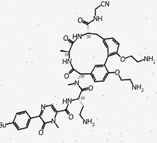 C[C@@H]1NC(=O)[C@@H](N(C)C(=O)[C@H](CCN)NC(=O)c2cnc(-c3ccc(C(C)(C)C)cc3)c(=O)n2C)c2ccc(OCCN)c(c2)-c2cc(ccc2OCCN)C[C@@H](C(=O)NCC#N)NC1=O